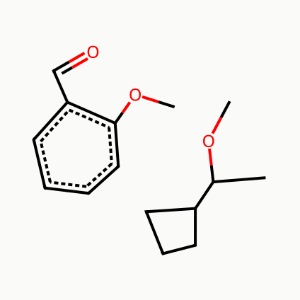 COC(C)C1CCC1.COc1ccccc1C=O